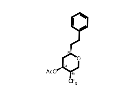 CC(=O)O[C@H]1C[C@@H](CCc2ccccc2)OC[C@H]1C(F)(F)F